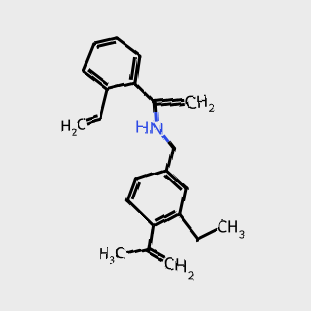 C=Cc1ccccc1C(=C)NCc1ccc(C(=C)C)c(CC)c1